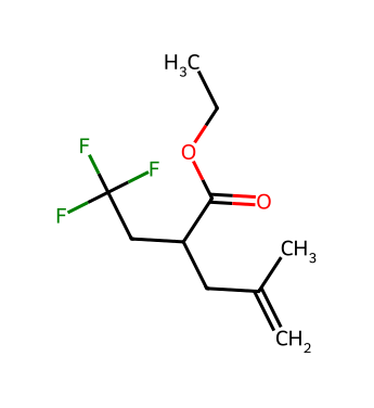 C=C(C)CC(CC(F)(F)F)C(=O)OCC